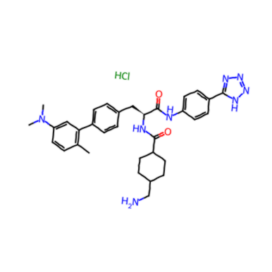 Cc1ccc(N(C)C)cc1-c1ccc(C[C@H](NC(=O)C2CCC(CN)CC2)C(=O)Nc2ccc(-c3nnn[nH]3)cc2)cc1.Cl